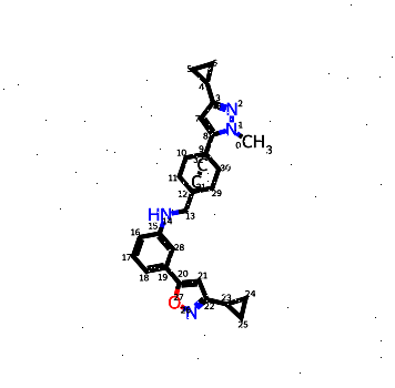 Cn1nc(C2CC2)cc1C12CCC(CNc3cccc(-c4cc(C5CC5)no4)c3)(CC1)CC2